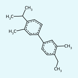 CCc1ccc(-c2ccc(C(C)C)c(C)c2)cc1C